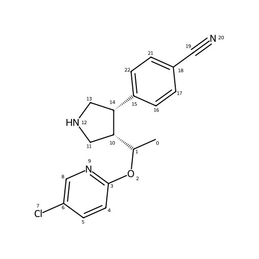 CC(Oc1ccc(Cl)cn1)[C@@H]1CNC[C@@H]1c1ccc(C#N)cc1